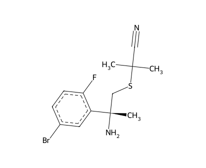 CC(C)(C#N)SC[C@](C)(N)c1cc(Br)ccc1F